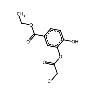 CCOC(=O)c1ccc(O)c(OC(=O)CCl)c1